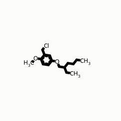 CCCCC(CC)COc1ccc(OC)c(CCl)c1